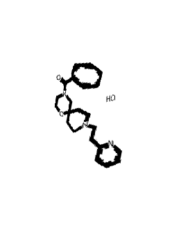 Cl.O=C(c1ccccc1)N1CCOC2(CCN(CCc3ccccn3)CC2)C1